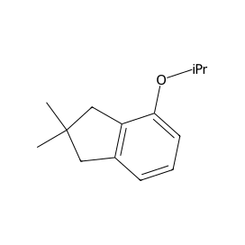 CC(C)Oc1cccc2c1CC(C)(C)C2